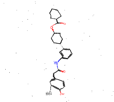 COc1cc(CC(=O)Nc2cccc([C@H]3CC[C@H](OC(=O)C4CCCCC4)CC3)c2)ccc1O